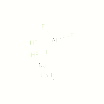 F.F.[CaH2].[F][Al]([F])[F].[NaH]